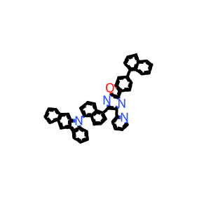 c1ccc(-c2nc3c(nc2-c2cccc4c(-n5c6ccccc6c6cc7ccccc7cc65)cccc24)oc2cc(-c4cccc5ccccc45)ccc23)nc1